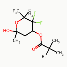 CCC(C)(C)C(=O)OC1CC(C)(O)OC(C)(C(F)(F)F)C1(F)F